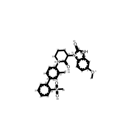 COc1ccc2c(c1)[nH]c(=O)n2C1CCCN(c2ccc(-c3ccccc3S(C)(=O)=O)cc2F)C1=O